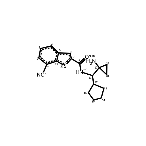 N#Cc1cccc2cc(C(=O)NC(C3CCCC3)C3(N)CC3)sc12